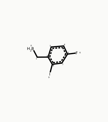 BCc1ccc(F)cc1I